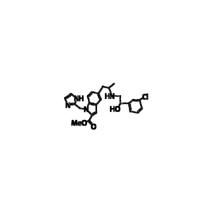 COC(=O)c1cc2cc(CC(C)NCC(O)c3cccc(Cl)c3)ccc2n1Cc1ncc[nH]1